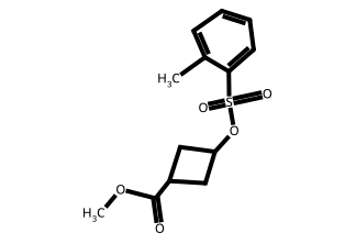 COC(=O)C1CC(OS(=O)(=O)c2ccccc2C)C1